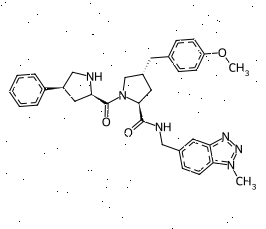 COc1ccc(C[C@@H]2C[C@@H](C(=O)NCc3ccc4c(c3)nnn4C)N(C(=O)[C@H]3C[C@@H](c4ccccc4)CN3)C2)cc1